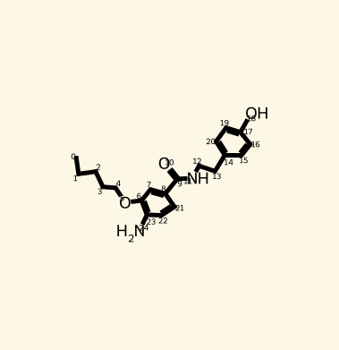 CCCCCOc1cc(C(=O)NCCc2ccc(O)cc2)ccc1N